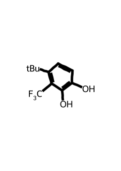 CC(C)(C)c1ccc(O)c(O)c1C(F)(F)F